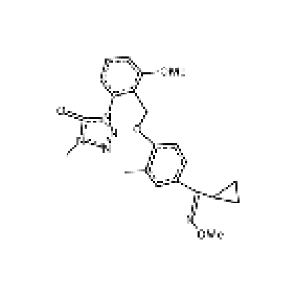 CO/N=C(/c1ccc(OCc2c(OC)cccc2-n2nnn(C)c2=O)c(C)c1)C1CC1